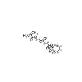 C=C(C)C(=O)OCCOC(=O)CCC(=O)OC1(C)CSCCCSC1